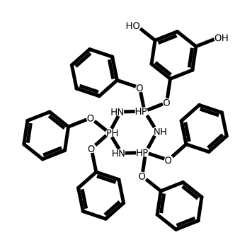 Oc1cc(O)cc(O[PH]2(Oc3ccccc3)N[PH](Oc3ccccc3)(Oc3ccccc3)N[PH](Oc3ccccc3)(Oc3ccccc3)N2)c1